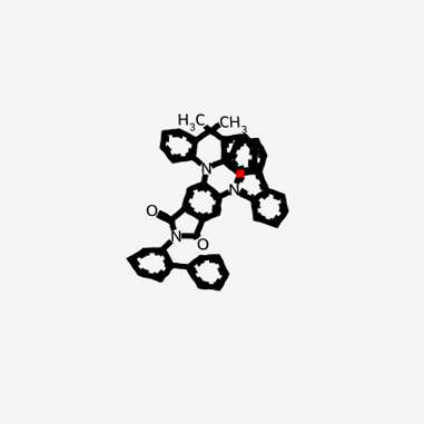 CC1(C)c2ccccc2N(c2cc3c(cc2-n2c4ccccc4c4ccccc42)C(=O)N(c2ccccc2-c2ccccc2)C3=O)c2ccccc21